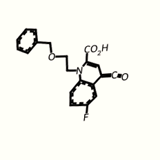 O=C=C1C=C(C(=O)O)N(CCOCc2ccccc2)c2ccc(F)cc21